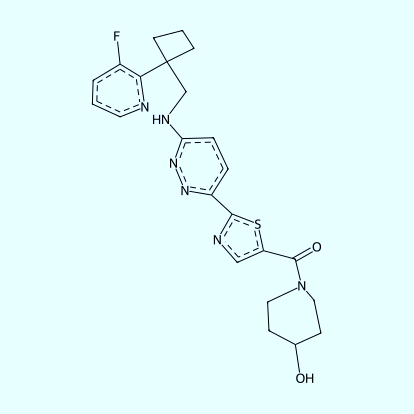 O=C(c1cnc(-c2ccc(NCC3(c4ncccc4F)CCC3)nn2)s1)N1CCC(O)CC1